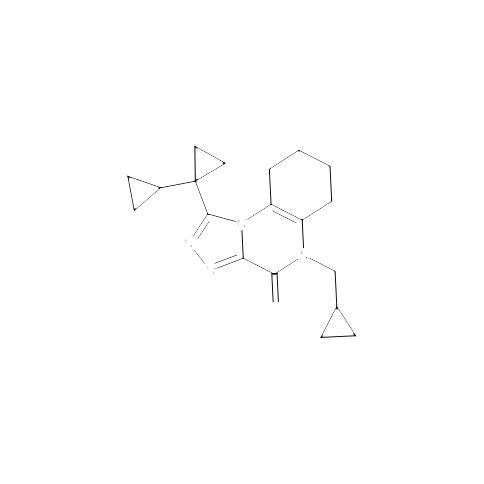 O=c1c2nnc(C3(C4CC4)CC3)n2c2c(n1CC1CC1)CCCC2